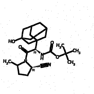 CC1CC[C@@H](C#N)N1C(=O)[C@@H](NC(=O)OC(C)(C)C)C12CC3CC(CC(O)(C3)C1)C2